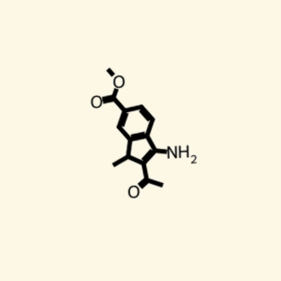 COC(=O)c1ccc2c(c1)C(C)C(C(C)=O)=C2N